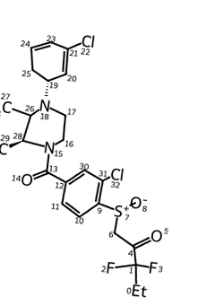 CCC(F)(F)C(=O)C[S+]([O-])c1ccc(C(=O)N2CCN([C@H]3C=C(Cl)C=CC3)C(C)[C@@H]2C)cc1Cl